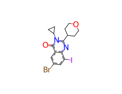 O=c1c2cc(Br)cc(I)c2nc(C2CCOCC2)n1C1CC1